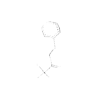 N=C(CCc1ccccc1)C(F)(F)F